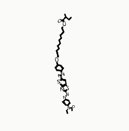 CCC(C)C(=O)OCCCCCCCCCCOc1ccc(N=Nc2cc3sc(N=Nc4ccc(N(CC)C(C)=O)cc4)nc3s2)cc1